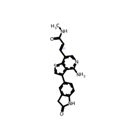 CNC(=O)/C=C/c1cnc(N)c2c(-c3ccc4c(c3)CC(=O)N4)csc12